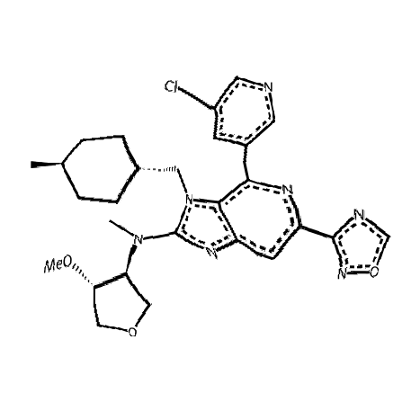 CO[C@H]1COC[C@@H]1N(C)c1nc2cc(-c3ncon3)nc(-c3cncc(Cl)c3)c2n1C[C@H]1CC[C@H](C)CC1